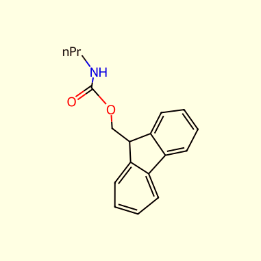 CCCNC(=O)OCC1c2ccccc2-c2ccccc21